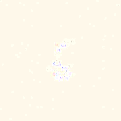 CC(C)(C)n1nc(-c2noc(C3CC3)c2-c2ncc(C3CCN(C(=O)NCC(=O)O)CC3)cn2)c2c(N)ncnc21